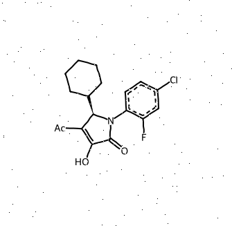 CC(=O)C1=C(O)C(=O)N(c2ccc(Cl)cc2F)[C@@H]1C1CCCCC1